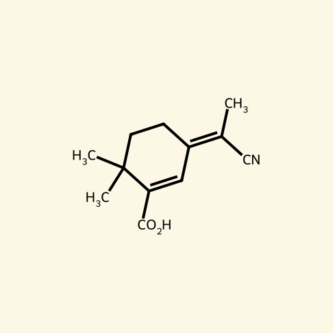 CC(C#N)=C1C=C(C(=O)O)C(C)(C)CC1